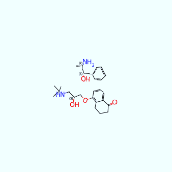 CC(C)(C)NC[C@H](O)COc1cccc2c1CCCC2=O.C[C@@H](N)[C@@H](O)c1ccccc1